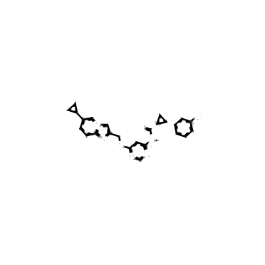 CN(C(=O)[C@H]1C[C@@H]1c1cccc(Cl)c1)c1cc(NCc2cn3cc(C4CC4)ccc3n2)ncn1